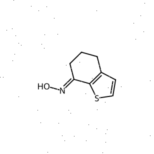 ON=C1CCCc2ccsc21